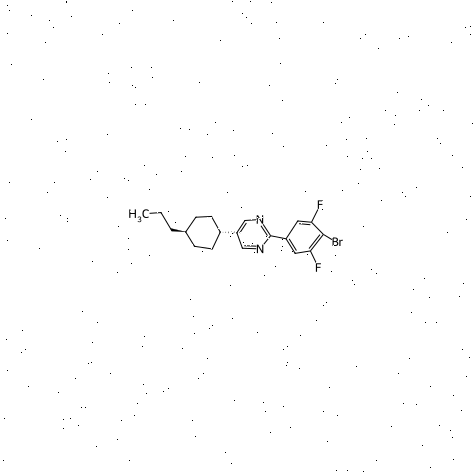 CCC[C@H]1CC[C@H](c2cnc(-c3cc(F)c(Br)c(F)c3)nc2)CC1